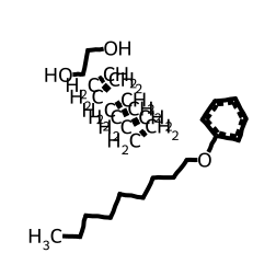 C=C.C=C.C=C.C=C.C=C.C=C.CCCCCCCCCOc1ccccc1.OCCO